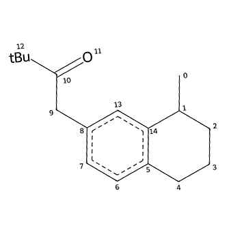 CC1CCCc2ccc(CC(=O)C(C)(C)C)cc21